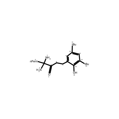 CCCCCC(N)(N)C(=O)CCc1cc(C(C)(C)C)cc(C(C)(C)C)c1O